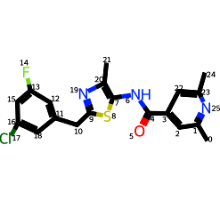 Cc1cc(C(=O)Nc2sc(Cc3cc(F)cc(Cl)c3)nc2C)cc(C)n1